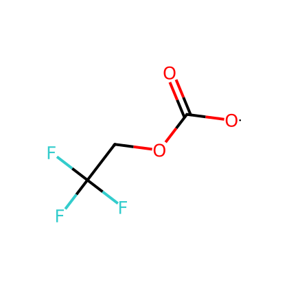 [O]C(=O)OCC(F)(F)F